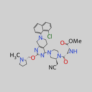 COC(=O)[C@@H]1N[C@@H]1C(=O)N1CCN(c2nc(OC[C@@H]3CCCN3C)nc3c2CCN(c2cccc4cccc(Cl)c24)C3)C[C@@H]1CC#N